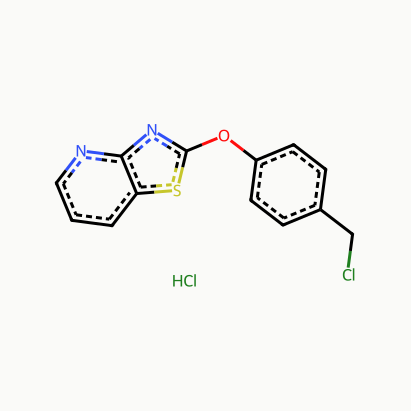 Cl.ClCc1ccc(Oc2nc3ncccc3s2)cc1